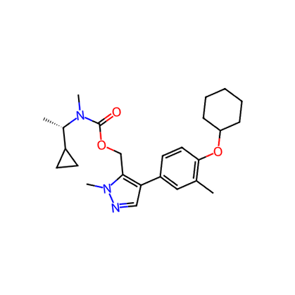 Cc1cc(-c2cnn(C)c2COC(=O)N(C)[C@@H](C)C2CC2)ccc1OC1CCCCC1